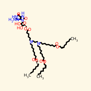 CCCCCC/C=C\COC(=O)CCCCCCCCN(CCCCCCCCC(=O)OC/C=C\CCCCCC)CCCN(CCCCCCCCC(=O)OC/C=C\CCCCCC)CCCCCC(=O)OC[C@@H]1O[C@H](n2c(=O)[nH]c3c(=O)[nH]c(N)nc32)C(O)C1O